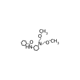 CCOCCN(CCOCC)c1cccc(NC(=O)c2ccccc2)c1